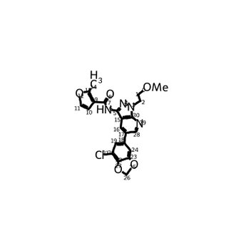 COCCn1nc(NC(=O)c2ccoc2C)c2cc(-c3cc(Cl)c4c(c3)OCO4)cnc21